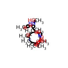 CCC1/C=C(\C)CC(C)CC(OC)C2OC(O)(C(=O)C(=O)N3CCCCC3C(=O)OC(C(C)=CC3CCC(NC[C@H](C)O)C(Oc4ccc(OC)cc4)C3)C(C)CCC1=O)C(C)CC2OC